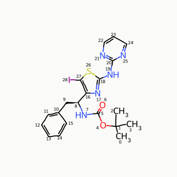 CC(C)(C)OC(=O)N[C@@H](Cc1ccccc1)c1nc(Nc2ncccn2)sc1I